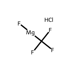 Cl.[F][Mg][C](F)(F)F